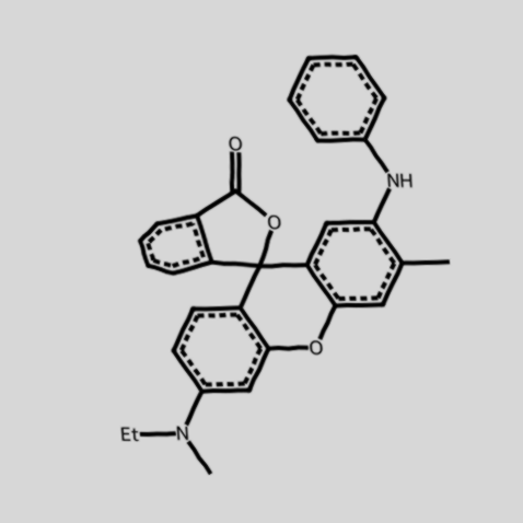 CCN(C)c1ccc2c(c1)Oc1cc(C)c(Nc3ccccc3)cc1C21OC(=O)c2ccccc21